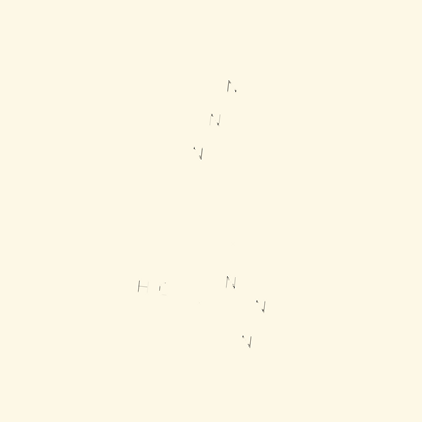 Cc1cnnn1C1=CC(N=[N+]=[N-])CC1